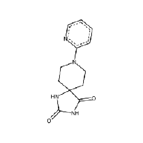 O=C1NC(=O)C2(CCN(c3ccccn3)CC2)N1